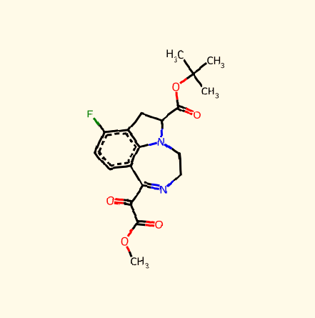 COC(=O)C(=O)C1=NCCN2c3c1ccc(F)c3CC2C(=O)OC(C)(C)C